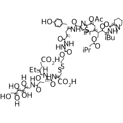 CCC(C)[C@H](NC(=O)[C@H]1CCCCN1C)C(=O)C(COC(=O)CC(C)C)[C@H](C[C@@H](OC(C)=O)c1nc(C(=O)N[C@@H](Cc2ccc(O)cc2)C[C@H](C)C(=O)NNC(=O)OCCSSC[C@H](NC(=O)[C@H](CCC(=O)NC[C@H](O)[C@@H](O)[C@H](O)[C@H](O)CO)NC(=O)[C@@H](CC)CCC(=O)O)C(=O)O)cs1)C(C)C